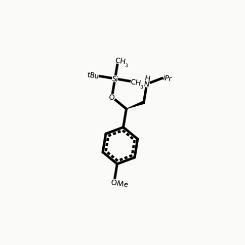 COc1ccc([C@H](CNC(C)C)O[Si](C)(C)C(C)(C)C)cc1